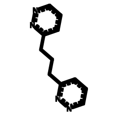 c1cnnc(CCCc2cccnn2)c1